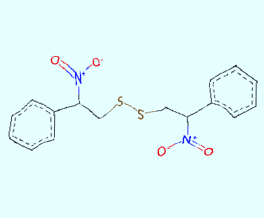 O=[N+]([O-])C(CSSCC(c1ccccc1)[N+](=O)[O-])c1ccccc1